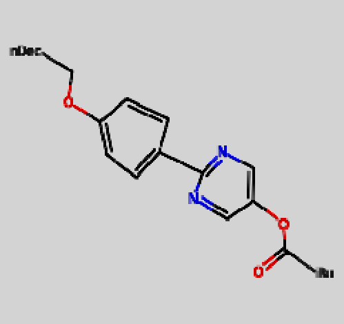 CCCCCCCCCCCOc1ccc(-c2ncc(OC(=O)C(C)CC)cn2)cc1